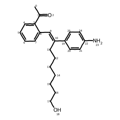 CC(=O)c1ccccc1/C=C(\CCCCCCCO)c1ccc(N)cc1